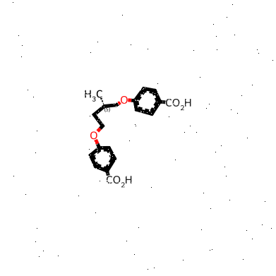 C[C@@H](CCOc1ccc(C(=O)O)cc1)COc1ccc(C(=O)O)cc1